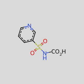 O=C(O)NS(=O)(=O)c1cccnc1